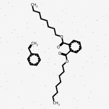 C=Cc1ccccc1.CCCCCCCCOC(=O)c1ccccc1C(=O)OCCCCCCCC